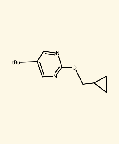 CC(C)(C)c1cnc(OCC2CC2)nc1